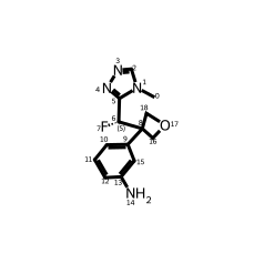 Cn1cnnc1[C@@H](F)C1(c2cccc(N)c2)COC1